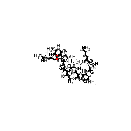 C[C@H](NC(=O)[C@H](CS)NC(=O)[C@@H](NC(=O)[C@H](C)NC(=O)[C@@H](NC(=O)[C@H](CC(N)=O)NC(=O)[C@H](CS)NC(=O)[C@@H](N)CCCCN)[C@@H](C)O)[C@@H](C)O)C(=O)N[C@H](C(=O)N[C@@H](C)C(=O)N[C@H]([C]=O)CCCNC(=N)N)[C@@H](C)O